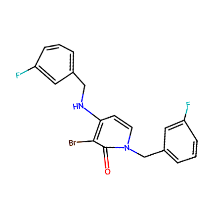 O=c1c(Br)c(NCc2cccc(F)c2)ccn1Cc1cccc(F)c1